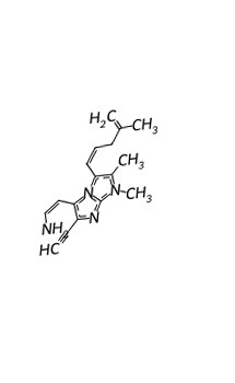 C#Cc1nc2n(C)c(C)c(/C=C\CC(=C)C)n2c1/C=C\N